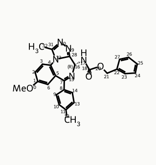 COc1ccc2c(c1)C(c1ccc(C)cc1)=N[C@@H](NC(=O)OCc1ccccc1)c1nnc(C)n1-2